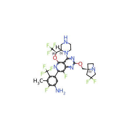 Cc1c(F)c(N)cc(-c2nc3c4c(nc(OC[C@@]56CCN5CC(F)(F)C6)nc4c2F)N2CCNC[C@H]2[C@H](C(F)(F)F)O3)c1C(F)(F)F